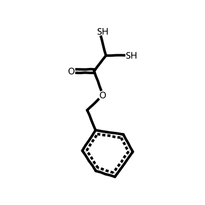 O=C(OCc1ccccc1)C(S)S